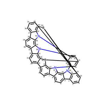 c1cc2c3ccc4c5ccc6c7c5n5c8c9c%10c%11c%12c8n(c2c2c1-c1ccc8c%13ccc%14c%15ccc-6c(c%15n%10c%14c%13n%11c8c1B2%12)B79)c3c45